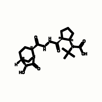 CC(C)(C)N(C(=O)O)[C@@H]1CCC[C@H]1C(=O)NNC(=O)[C@@H]1CC[C@@H]2CN1C(=O)N2O